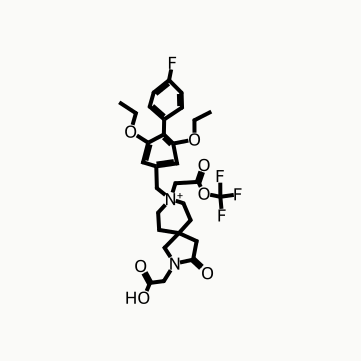 CCOc1cc(C[N+]2(CC(=O)OC(F)(F)F)CCC3(CC2)CC(=O)N(CC(=O)O)C3)cc(OCC)c1-c1ccc(F)cc1